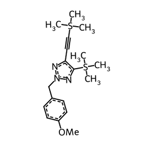 COc1ccc(Cn2nc(C#CS(C)(C)C)c(S(C)(C)C)n2)cc1